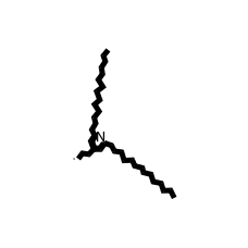 [CH2]CCc1cc(CCCCCCCCCCCCCC)nc(CCCCCCCCCCCCCC)c1